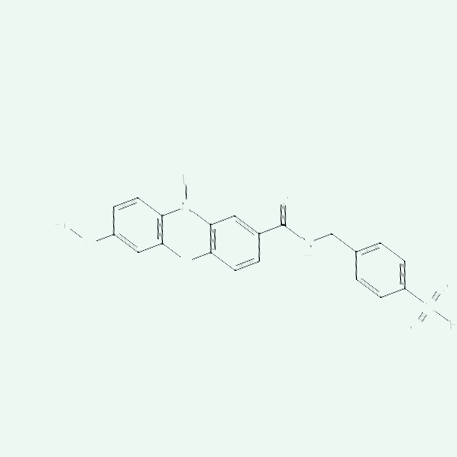 CCOc1ccc2c(c1)Sc1ccc(C(=O)NCc3ccc(S(=O)(=O)CC)cc3)cc1N2CC